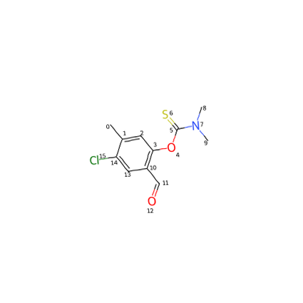 Cc1cc(OC(=S)N(C)C)c(C=O)cc1Cl